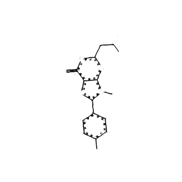 C[C@H](Cc1nc2c(nc(-c3ccc(Cl)cc3)n2C)c(=O)[nH]1)C(F)(F)F